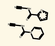 N#CNC(=O)N1C=CC=CC1.N#CNC(=O)c1ccco1